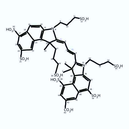 CC1(C)C(/C=C/C=C2/N(CCCS(=O)(=O)O)c3ccc4c(S(=O)(=O)O)cc(S(=O)(=O)O)cc4c3C2(C)CCCS(=O)(=O)O)=[N+](CCCS(=O)(=O)O)c2cc(S(=O)(=O)O)c3cc(C(=O)O)cc(S(=O)(=O)O)c3c21